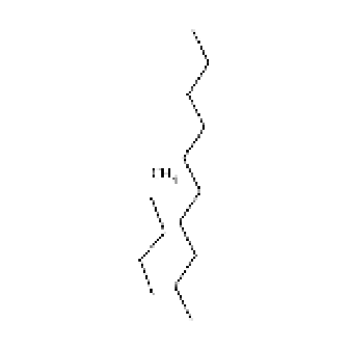 C.CCCC.CCCCCCCCCC